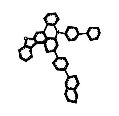 c1ccc(-c2ccc(N(c3cccc(-c4ccc(-c5ccc6ccccc6c5)cc4)c3)c3ccccc3-c3ccc4c(c3)oc3ccccc34)cc2)cc1